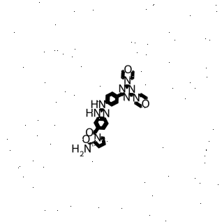 NC(=O)[C@@H]1CCCN1C(=O)c1ccc2nc(Nc3ccc(-c4nc(N5CCOCC5)nc(N5CCOCC5)n4)cc3)[nH]c2c1